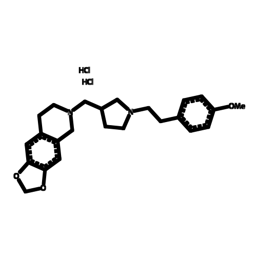 COc1ccc(CCN2CCC(CN3CCc4cc5c(cc4C3)OCO5)C2)cc1.Cl.Cl